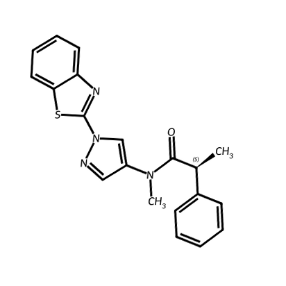 C[C@H](C(=O)N(C)c1cnn(-c2nc3ccccc3s2)c1)c1ccccc1